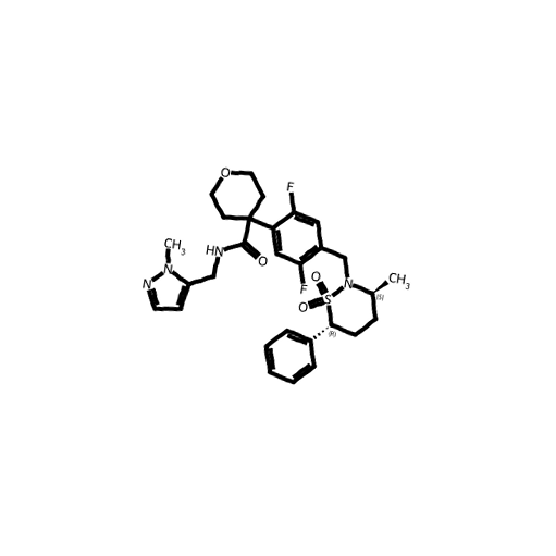 C[C@H]1CC[C@H](c2ccccc2)S(=O)(=O)N1Cc1cc(F)c(C2(C(=O)NCc3ccnn3C)CCOCC2)cc1F